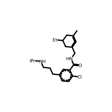 CCC1CC(C)=C=C(CNC(=O)c2cc(CCCNC(C)C)ccc2Cl)C1